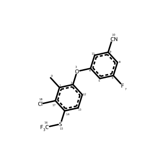 Cc1c(Oc2cc(F)cc(C#N)c2)ccc(SC(F)(F)F)c1Cl